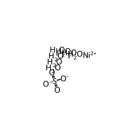 O.O.O.O.O.O.O.O=S(=O)([O-])[O-].[Ni+2]